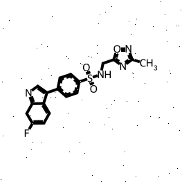 Cc1noc(CNS(=O)(=O)c2ccc(C3=CN=C4CC(F)=CC=C34)cc2)n1